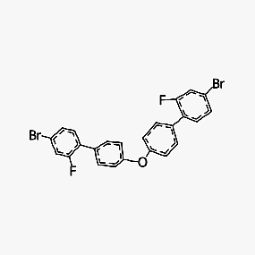 Fc1cc(Br)ccc1-c1ccc(Oc2ccc(-c3ccc(Br)cc3F)cc2)cc1